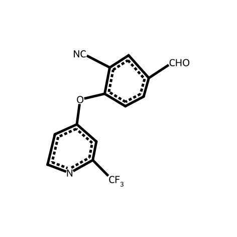 N#Cc1cc(C=O)ccc1Oc1ccnc(C(F)(F)F)c1